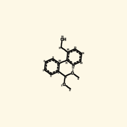 COC(OC)c1ccccc1-c1ncccc1CO